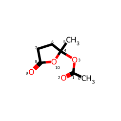 CC(=O)OC1(C)CCC(=O)O1